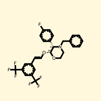 Fc1ccc([C@H]2[C@@H](OC=Cc3cc(C(F)(F)F)cc(C(F)(F)F)c3)OCCN2Cc2ccccc2)cc1